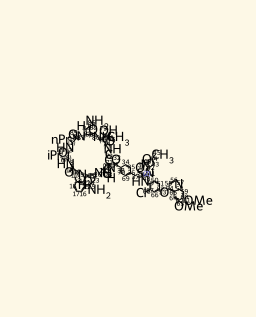 CCC[C@@H]1NC(=O)[C@H](CC(C)C)NC(=O)[C@@H](Cc2ccccc2)NC(=O)[C@H](CCN)NC(=O)[C@@H](NC(=O)c2ccc(C[S+]([O-])/C(=N\c3cc(C)on3)Nc3ccc(Oc4ccnc5cc(OC)c(OC)cc45)cc3Cl)cc2)CCNC(=O)[C@H]([C@@H](C)O)NC(=O)[C@H](CCN)NC1=O